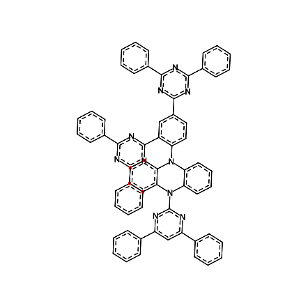 c1ccc(-c2cc(-c3ccccc3)nc(N3c4ccccc4N(c4ccc(-c5nc(-c6ccccc6)nc(-c6ccccc6)n5)cc4-c4nc(-c5ccccc5)nc(-c5ccccc5)n4)c4ccccc43)n2)cc1